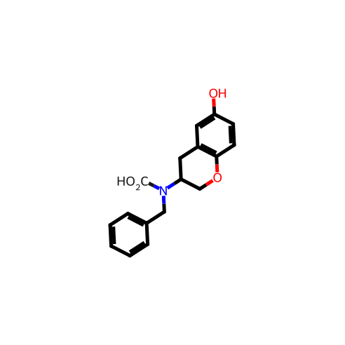 O=C(O)N(Cc1ccccc1)C1COc2ccc(O)cc2C1